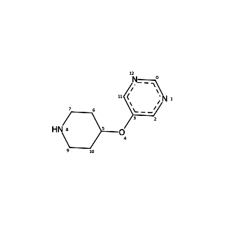 c1ncc(OC2CCNCC2)cn1